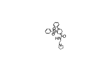 O=C(NCCN1CCCC1)[C@@H]1CC[C@H](c2ccccc2)N(S(=O)(=O)c2ccccc2)C1